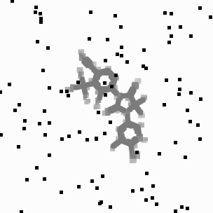 Cc1cc(N2C(=S)N(c3ccc(C#N)c(C(F)(F)F)c3F)C(=O)C2(C)C)cnc1S